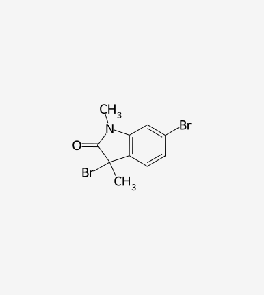 CN1C(=O)C(C)(Br)c2ccc(Br)cc21